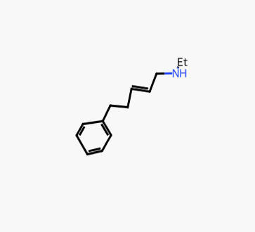 CCNCC=CCCc1ccccc1